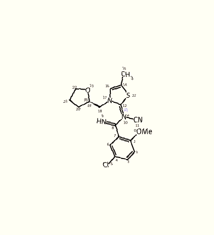 COc1ccc(Cl)cc1C(=N)/[N+](C#N)=c1/sc(C)cn1C[C@H]1CCCO1